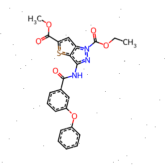 CCOC(=O)n1nc(NC(=O)c2cccc(Oc3ccccc3)c2)c2sc(C(=O)OC)cc21